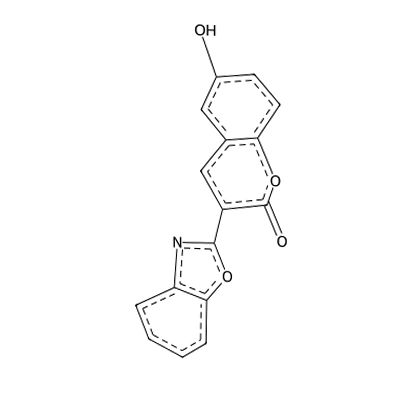 O=c1oc2ccc(O)cc2cc1-c1nc2ccccc2o1